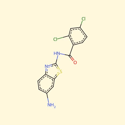 Nc1ccc2nc(NC(=O)c3ccc(Cl)cc3Cl)sc2c1